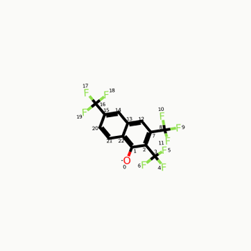 [O]c1c(C(F)(F)F)c(C(F)(F)F)cc2cc(C(F)(F)F)ccc12